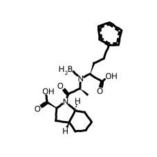 BN([C@@H](C)C(=O)N1[C@H](C(=O)O)C[C@H]2CCCC[C@@H]21)[C@@H](CCc1ccccc1)C(=O)O